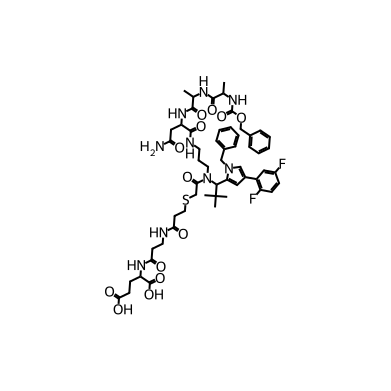 CC(NC(=O)OCc1ccccc1)C(=O)NC(C)C(=O)NC(CC(N)=O)C(=O)NCCCN(C(=O)CSCCC(=O)NCCC(=O)NC(CCC(=O)O)C(=O)O)C(c1cc(-c2cc(F)ccc2F)cn1Cc1ccccc1)C(C)(C)C